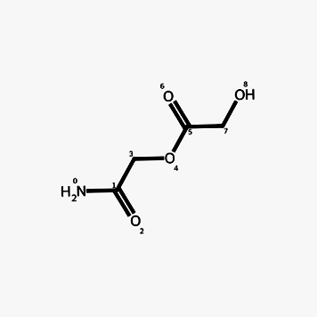 NC(=O)COC(=O)CO